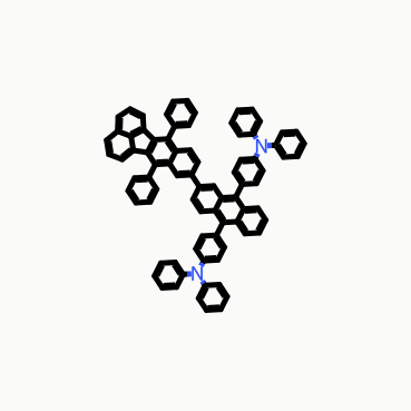 c1ccc(-c2c3c(c(-c4ccccc4)c4cc(-c5ccc6c(-c7ccc(N(c8ccccc8)c8ccccc8)cc7)c7ccccc7c(-c7ccc(N(c8ccccc8)c8ccccc8)cc7)c6c5)ccc24)-c2cccc4cccc-3c24)cc1